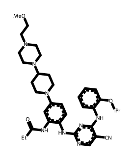 CCC(=O)Nc1cc(N2CCC(N3CCN(CCOC)CC3)CC2)ccc1Nc1ncc(C#N)c(Nc2ccccc2OC(C)C)n1